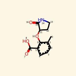 Cc1cccc(C(=O)O)c1OC1CCNC1=O